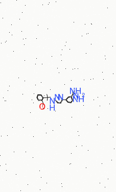 COCc1ccccc1C(C)(C)CNc1ccc(-c2ccc3[nH]nc(N)c3c2)nn1